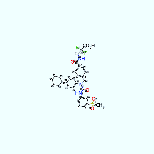 CS(=O)(=O)c1cccc(NC(=O)N(Cc2ccc(C(=O)NCC(F)(F)C(=O)O)cc2)c2ccc(C3CCCCC3)cc2)c1